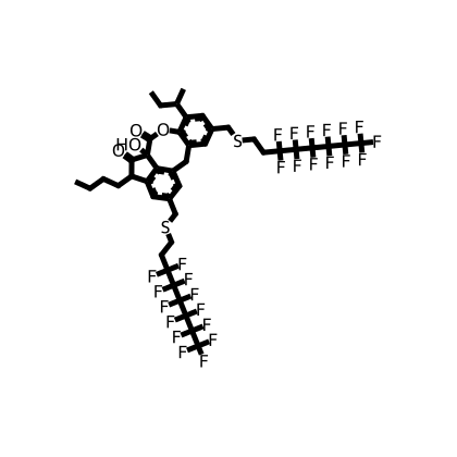 CCCCC1C(=O)C2(O)C(=O)Oc3c(cc(CSCCC(F)(F)C(F)(F)C(F)(F)C(F)(F)C(F)(F)C(F)(F)F)cc3C(C)CC)Cc3cc(CSCCC(F)(F)C(F)(F)C(F)(F)C(F)(F)C(F)(F)C(F)(F)F)cc1c32